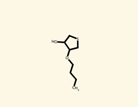 CCCCOC1CSCC1O